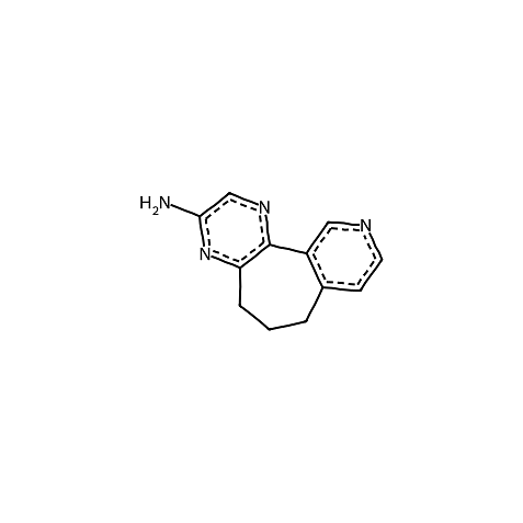 Nc1cnc2c(n1)CCCc1ccncc1-2